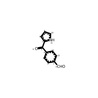 O=Cc1ccc(C(=O)c2ccc[nH]2)cc1